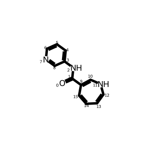 O=C(Nc1cccnc1)C1=CNC=CC=C1